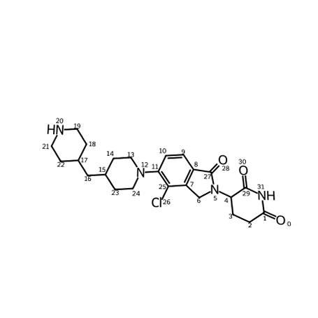 O=C1CCC(N2Cc3c(ccc(N4CCC(CC5CCNCC5)CC4)c3Cl)C2=O)C(=O)N1